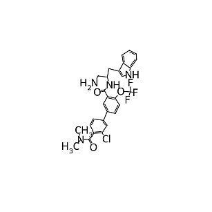 CN(C)C(=O)c1ccc(-c2ccc(OC(F)(F)F)c(C(=O)NC(CN)Cc3c[nH]c4ccccc34)c2)cc1Cl